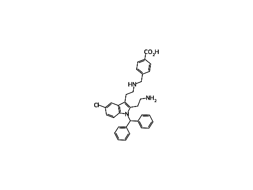 NCCc1c(CCNCc2ccc(C(=O)O)cc2)c2cc(Cl)ccc2n1C(c1ccccc1)c1ccccc1